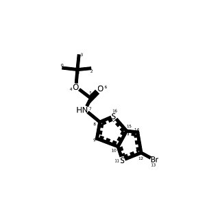 CC(C)(C)OC(=O)Nc1cc2sc(Br)cc2s1